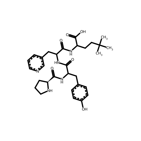 CC(C)(C)CCC(NC(=O)C(Cc1cccnc1)NC(=O)C(Cc1ccc(O)cc1)NC(=O)[C@@H]1CCCN1)C(=O)O